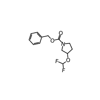 O=C(OCc1ccccc1)N1CCC(OC(F)F)C1